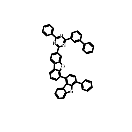 c1ccc(-c2cccc(-c3nc(-c4ccccc4)nc(-c4ccc5c(c4)oc4c(-c6ccc(-c7ccccc7)c7sc8ccccc8c67)cccc45)n3)c2)cc1